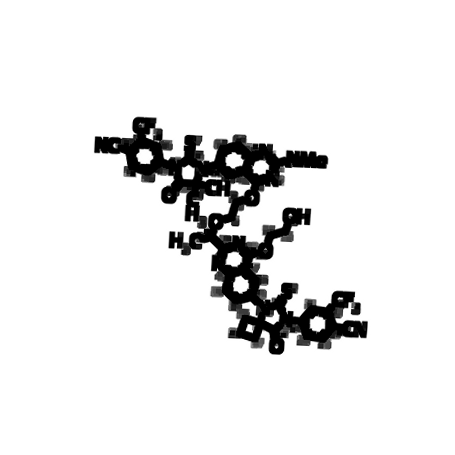 CNc1nc(OCCOC(C)c2nc(OCCO)c3cc(N4C(=S)N(c5ccc(C#N)c(C(F)(F)F)c5)C(=O)C45CCC5)ccc3n2)c2cc(N3C(=S)N(c4ccc(C#N)c(C(F)(F)F)c4)C(=O)C3(C)C)ccc2n1